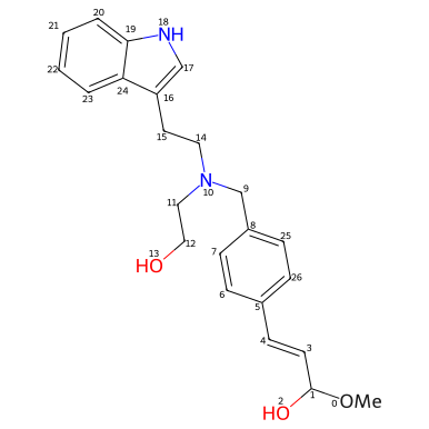 COC(O)/C=C/c1ccc(CN(CCO)CCc2c[nH]c3ccccc23)cc1